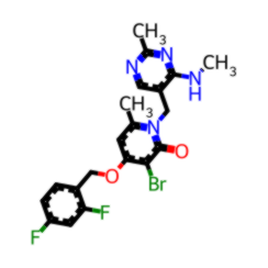 CNc1nc(C)ncc1Cn1c(C)cc(OCc2ccc(F)cc2F)c(Br)c1=O